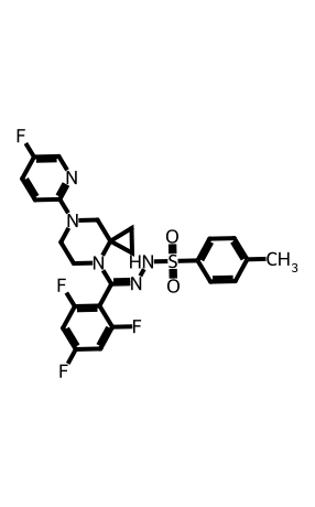 Cc1ccc(S(=O)(=O)N/N=C(/c2c(F)cc(F)cc2F)N2CCN(c3ccc(F)cn3)CC23CC3)cc1